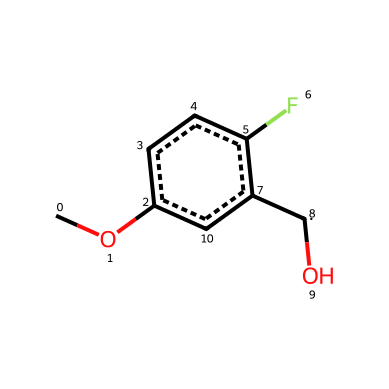 COc1ccc(F)c([CH]O)c1